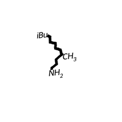 CCC(C)CCCCCC(C)CCCN